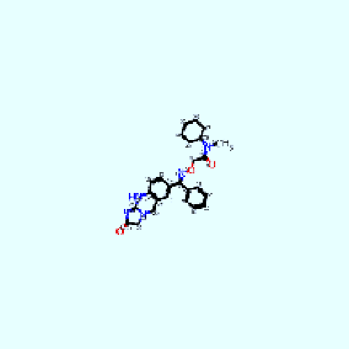 CN(C(=O)CO/N=C(\c1ccccc1)c1ccc2c(c1)CN1CC(=O)N=C1N2)C1CCCCC1